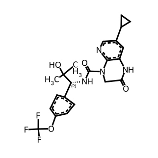 CC(C)(O)[C@H](NC(=O)N1CC(=O)Nc2cc(C3CC3)cnc21)c1ccc(OC(F)(F)F)cc1